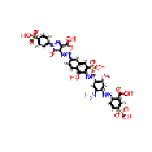 COc1cc(/N=N/c2ccc(S(=O)(=O)O)cc2C(=O)O)c(N)cc1/N=N/c1c(S(=O)(=O)O)cc2cc(/N=N/C3C(=O)N(c4ccc(S(=O)(=O)O)cc4)N=C3C(=O)O)ccc2c1O